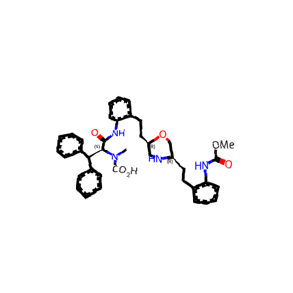 COC(=O)Nc1ccccc1CC[C@@H]1CO[C@H](CCc2ccccc2NC(=O)[C@H](C(c2ccccc2)c2ccccc2)N(C)C(=O)O)CN1